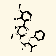 CC[C@H](NC(=O)c1nccc(OC)c1O)C(=O)O[C@@H](C)[C@H](Oc1ccccc1)C(C)C